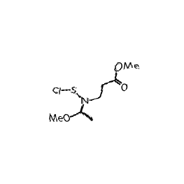 COC(=O)CCN(SCl)C(C)OC